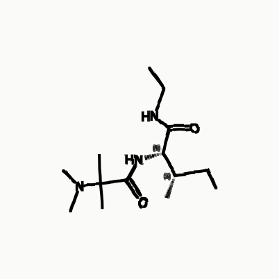 CCNC(=O)[C@@H](NC(=O)C(C)(C)N(C)C)[C@@H](C)CC